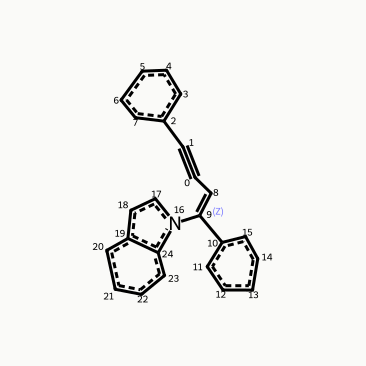 C(#Cc1ccccc1)/C=C(/c1ccccc1)n1ccc2ccccc21